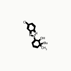 CC(C)(C)C1(C)C=CC=C(n2nc3ccc(Cl)cc3n2)C1O